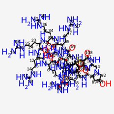 N=C(N)NCCCC(NC(=O)[C@@H](CCCNC(=N)N)NC(=O)C(CCCNC(=N)N)NC(=O)[C@@H](CCCNC(=N)N)NC(=O)C(CCCNC(=N)N)NC(=O)[C@@H](CCCNC(=N)N)NC(=O)C(CCCNC(=N)N)NC(=O)[C@@H](CCCNC(=N)N)NC(=O)[C@H]1C[C@H](O)CN1Cc1nc2c(sc3ccc(Br)cc32)c(=O)[nH]1)C(N)=O